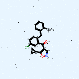 CSc1ccccc1Cc1ccc(Cl)cc1C(=O)c1cnoc1C1CC1